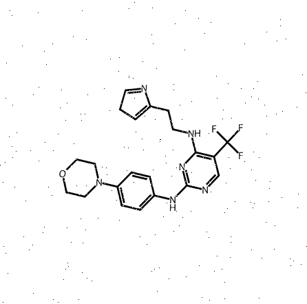 FC(F)(F)c1cnc(Nc2ccc(N3CCOCC3)cc2)nc1NCCC1=CCC=N1